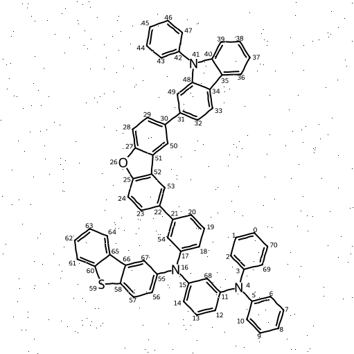 c1ccc(N(c2ccccc2)c2cccc(N(c3cccc(-c4ccc5oc6ccc(-c7ccc8c9ccccc9n(-c9ccccc9)c8c7)cc6c5c4)c3)c3ccc4sc5ccccc5c4c3)c2)cc1